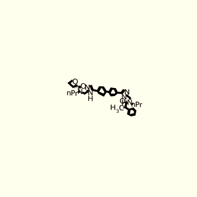 CCCN(Cc1ncc(-c2ccc(-c3ccc(-c4cnc(CN(CCC)C(=O)[C@H](C)c5ccccc5)[nH]4)cc3)cc2)[nH]1)C(=O)[C@H]1CCCO1